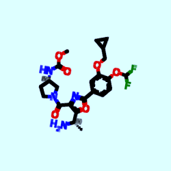 COC(=O)N[C@H]1CCN(C(=O)c2nc(-c3ccc(OC(F)F)c(OCC4CC4)c3)oc2[C@H](C)N)C1